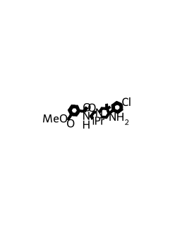 COC(=O)c1cccc(C(=O)NC(C(=O)N2CCC(N)(c3ccc(Cl)cc3)C(C)(C)C2)C(C)C)c1